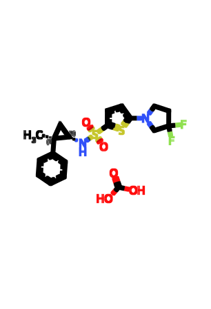 C[C@]1(c2ccccc2)C[C@@H]1NS(=O)(=O)c1ccc(N2CCC(F)(F)C2)s1.O=C(O)O